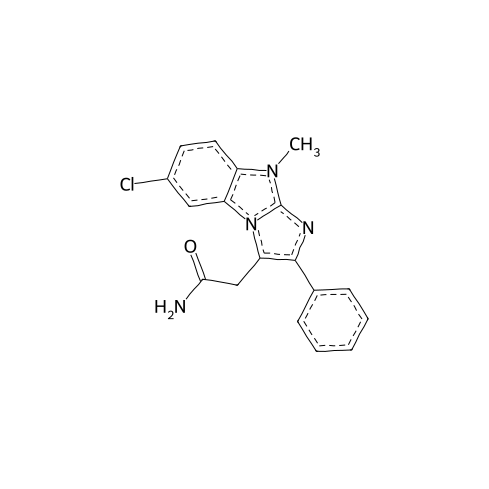 Cn1c2ccc(Cl)cc2n2c(CC(N)=O)c(-c3ccccc3)nc12